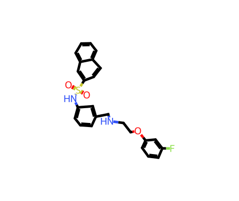 O=S(=O)(Nc1cccc(CNCCOc2cccc(F)c2)c1)c1ccc2ccccc2c1